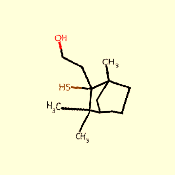 CC12CCC(C1)C(C)(C)C2(S)CCO